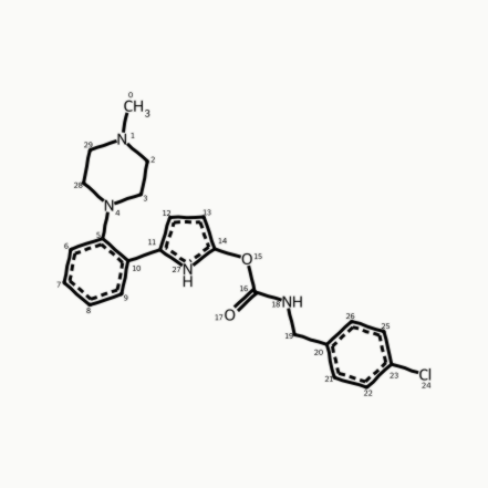 CN1CCN(c2ccccc2-c2ccc(OC(=O)NCc3ccc(Cl)cc3)[nH]2)CC1